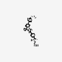 Nc1ncc(-c2ccc(C3(c4noc(-c5ccc(C(=O)NCCO)nc5)n4)CCC3)cc2)cn1